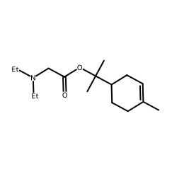 CCN(CC)CC(=O)OC(C)(C)C1CC=C(C)CC1